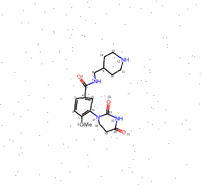 COc1ccc(C(=O)NCC2CCNCC2)cc1N1CCC(=O)NC1=O